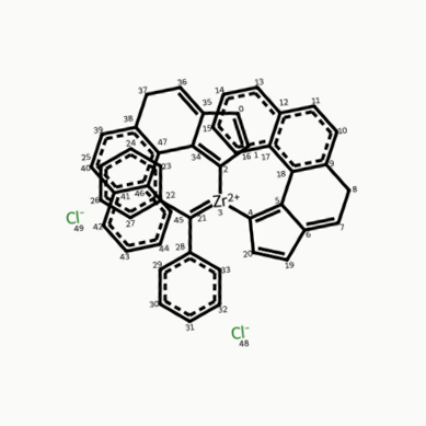 C1=C[C]([Zr+2]([C]2=C3C(=CCc4ccc5ccccc5c43)C=C2)=[C](c2ccccc2)c2ccccc2)=C2C1=CCc1ccc3ccccc3c12.[Cl-].[Cl-]